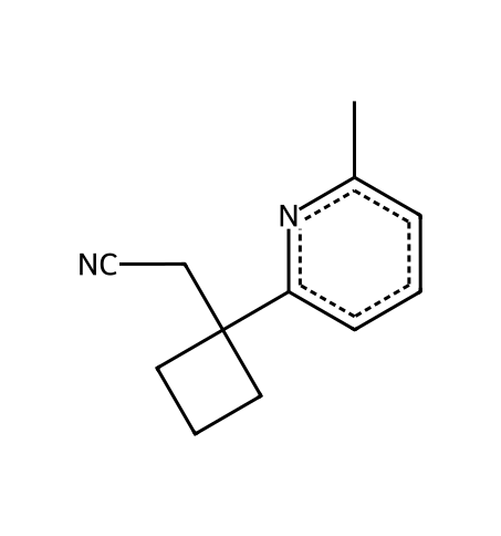 Cc1cccc(C2(CC#N)CCC2)n1